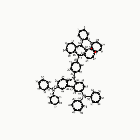 c1ccc(-c2ccccc2-c2c3ccccc3c(-c3ccc(-n4c5ccc(N(c6ccccc6)c6ccccc6)cc5c5cc(N(c6ccccc6)c6ccccc6)ccc54)cc3)c3ccccc23)cc1